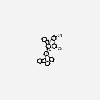 N#Cc1cc(C#N)cc(-c2cc(C#N)ccc2-n2c3ccccc3c3cc(-c4ccc(-n5c6ccccc6c6ccccc65)c(-c5ccccc5)c4)ccc32)c1